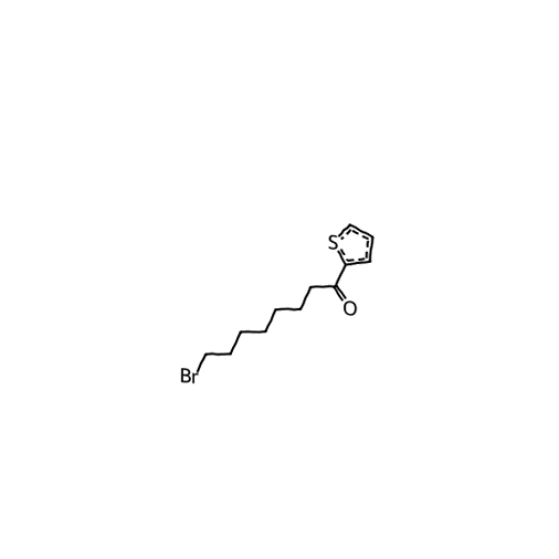 O=C(CCCCCCCBr)c1cccs1